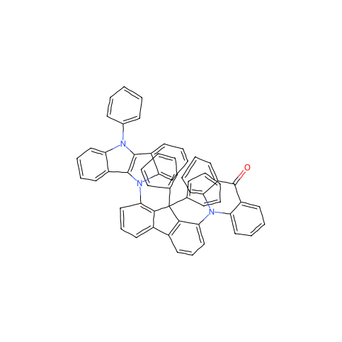 O=c1c2ccccc2n(-c2cccc3c2C(c2ccccc2)(c2ccccc2)c2c-3cccc2-n2c3ccccc3c3c2c2ccccc2n3-c2ccccc2)c2ccccc12